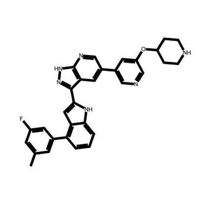 Cc1cc(F)cc(-c2cccc3[nH]c(-c4n[nH]c5ncc(-c6cncc(OC7CCNCC7)c6)cc45)cc23)c1